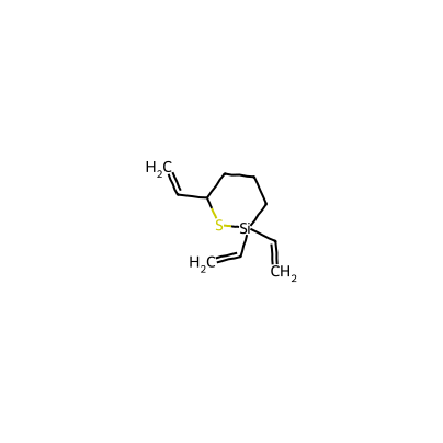 C=CC1CCC[Si](C=C)(C=C)S1